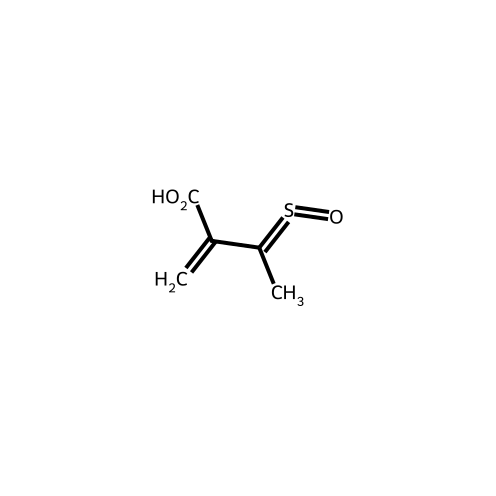 C=C(C(=O)O)C(C)=S=O